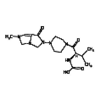 CC(C)[C@@H](NC(=O)O)C(=O)N1CCN(N2CN3CN(C)C=C3C2=O)CC1